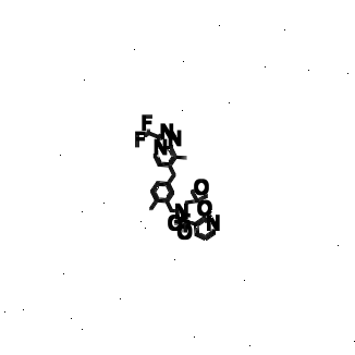 Cc1ccc(Cc2ccn3c(C(F)F)nnc3c2C)cc1CN1CC2(COC2)Oc2ncccc2S1(=O)=O